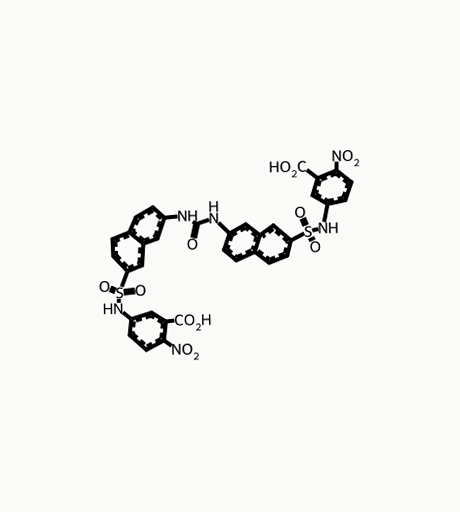 O=C(Nc1ccc2ccc(S(=O)(=O)Nc3ccc([N+](=O)[O-])c(C(=O)O)c3)cc2c1)Nc1ccc2ccc(S(=O)(=O)Nc3ccc([N+](=O)[O-])c(C(=O)O)c3)cc2c1